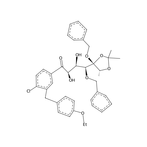 CCOc1ccc(Cc2cc(C(=O)[C@H](O)[C@@H](O)[C@H](OCc3ccccc3)[C@]3(OCc4ccccc4)OC(C)(C)O[C@@H]3C)ccc2Cl)cc1